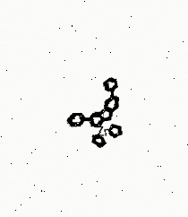 C1=CC[C]([Zr](=[C]2CCCC2)[c]2cc(-c3ccccc3)cc3c2Cc2ccc(-c4ccccc4)cc2-3)=C1